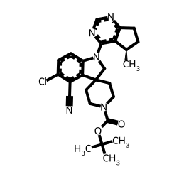 C[C@@H]1CCc2ncnc(N3CC4(CCN(C(=O)OC(C)(C)C)CC4)c4c3ccc(Cl)c4C#N)c21